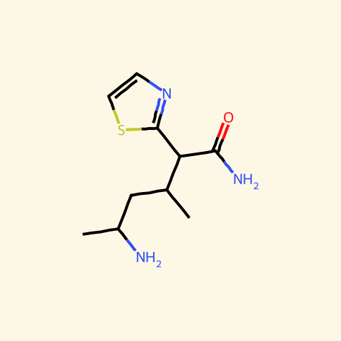 CC(N)CC(C)C(C(N)=O)c1nccs1